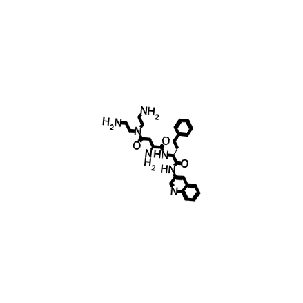 NCCN(CCN)C(=O)C[C@H](N)C(=O)N[C@H](CCc1ccccc1)C(=O)Nc1cnc2ccccc2c1